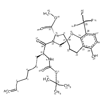 C=CCCCCC[C@H](NC(=O)OC(C)(C)C)C(=O)N1C[C@@]2(CCc3c(O)cnc(C(F)(F)F)c3O2)C[C@H]1C(=O)OC